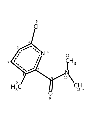 Cc1ccc(Cl)nc1C(=O)N(C)C